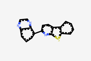 c1cc(-c2ccc3c(n2)sc2ccccc23)c2nccnc2c1